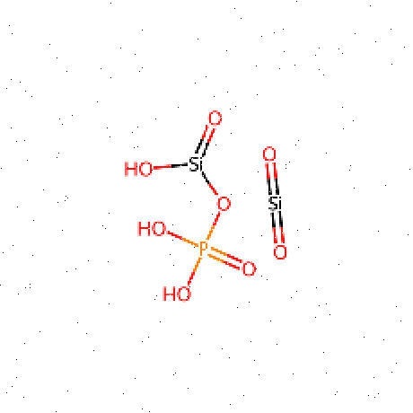 O=[Si](O)OP(=O)(O)O.O=[Si]=O